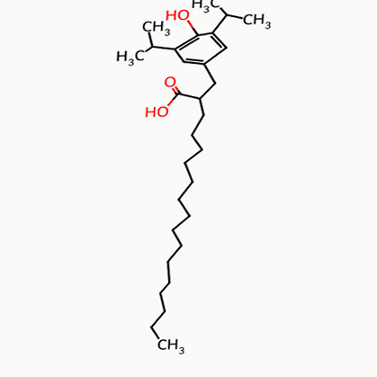 CCCCCCCCCCCCCCCC(Cc1cc(C(C)C)c(O)c(C(C)C)c1)C(=O)O